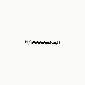 [Li][CH2]CC=NCCCCCCCCCCCC